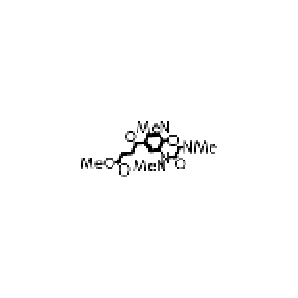 CNc1cc2c(cc1C(=O)CCC(=O)OC)N(NC)C(=O)C(NC)O2